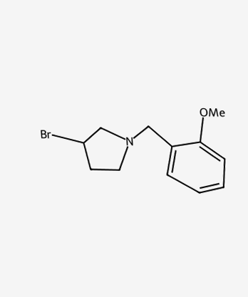 COc1ccccc1CN1CCC(Br)C1